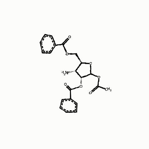 CC(=O)OC1O[C@H](COC(=O)c2ccccc2)[C@@H](N)[C@H]1OC(=O)c1ccccc1